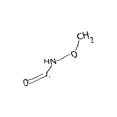 CON[C]=O